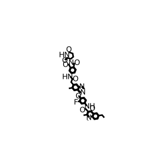 CCc1ccc2c(c1)c(=O)c(C(=O)Nc1ccc(Oc3ncnc4cc(CC(=O)Nc5ccc6c(c5)C(=O)N(C5CCC(=O)NC5=O)C6=O)c(C)cc34)c(F)c1)c(C)n2C